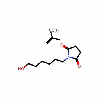 C=C(C)C(=O)O.O=C1CCC(=O)N1CCCCCCO